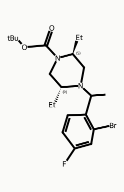 CC[C@H]1CN(C(C)c2ccc(F)cc2Br)[C@H](CC)CN1C(=O)OC(C)(C)C